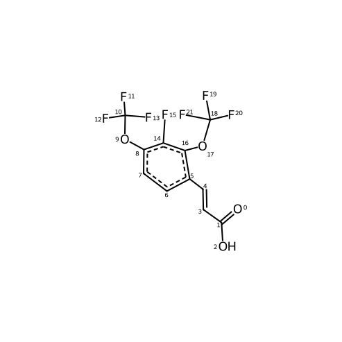 O=C(O)C=Cc1ccc(OC(F)(F)F)c(F)c1OC(F)(F)F